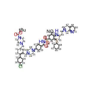 CC(C)(C)OC(=O)N1CCN(C[C@]2(C)CCC(c3ccc(Cl)cc3)=C(CN3CCN(c4ccc(C(=O)NS(=O)(=O)c5ccc(N[C@H](CCN6CCc7cccnc7C6)CSc6ccccc6)c([N+](=O)[O-])c5)cc4)CC3)C2)CC1